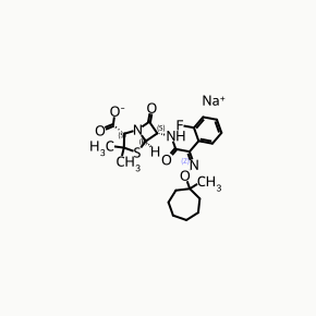 CC1(O/N=C(\C(=O)N[C@H]2C(=O)N3[C@@H]2SC(C)(C)[C@@H]3C(=O)[O-])c2ccccc2F)CCCCCC1.[Na+]